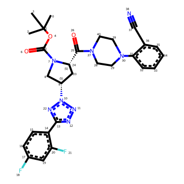 CC(C)(C)OC(=O)N1C[C@@H](n2nnc(-c3ccc(F)cc3F)n2)C[C@H]1C(=O)N1CCN(c2ccccc2C#N)CC1